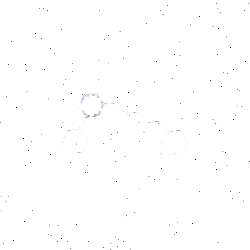 c1cc(CNCCCN2CCOCC2)cc(N2CCOCC2)n1